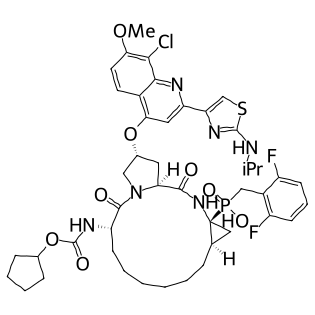 COc1ccc2c(O[C@@H]3C[C@H]4C(=O)N[C@]5(P(=O)(O)Cc6c(F)cccc6F)C[C@H]5CCCCCC[C@H](NC(=O)OC5CCCC5)C(=O)N4C3)cc(-c3csc(NC(C)C)n3)nc2c1Cl